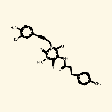 Cc1ccc(CCC(=O)Nc2c(Cl)n(CC#Cc3ccc(C)c(O)c3)c(=O)n(C)c2=O)cc1